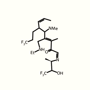 C/C=C\C(CCC(F)(F)F)C(NC)/C(CNCC)=C(\C)C(=O)/C=N\[C@H](C)C(O)C(F)(F)F